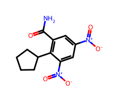 NC(=O)c1cc([N+](=O)[O-])cc([N+](=O)[O-])c1C1CCCC1